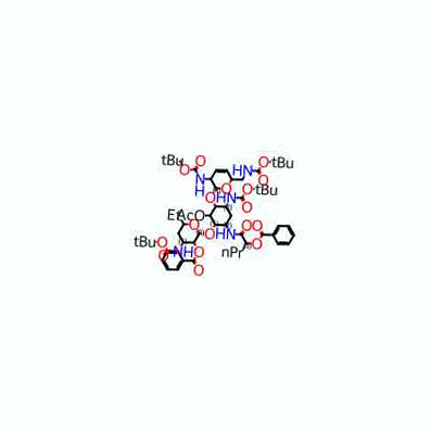 CCC[C@H](OC(=O)c1ccccc1)C(=O)N[C@@H]1C[C@@H](NC(=O)OC(C)(C)C)C(O[C@H]2OC(CNC(=O)OC(C)(C)C)C=CC2NC(=O)OC(C)(C)C)C(OC(C)=O)[C@H]1O[C@H]1OC(CC)C[C@H](NC(=O)OC(C)(C)C)C1OC(=O)c1ccccc1